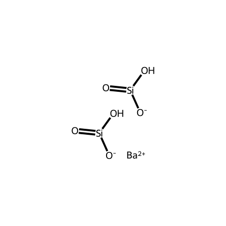 O=[Si]([O-])O.O=[Si]([O-])O.[Ba+2]